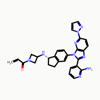 C=CC(=O)N1CC(N[C@H]2CCc3cc(-n4c(-c5cccnc5N)nc5ccc(-n6cccn6)nc54)ccc32)C1